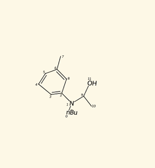 CCCCN(c1cccc(C)c1)C(C)O